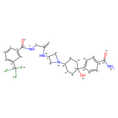 C=C(CNC(=O)c1cccc(C(F)(F)F)c1)NC1CN(C2CCC(O)(c3ccc(C(N)=O)cc3)CC2)C1